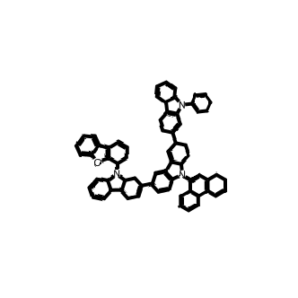 C1=CC2C(N3C4=C(CC(C5=CCC6C7C=CC=CC7N(C7CC=Cc8c7oc7ccccc87)C6C5)C=C4)C4=CC(C5=CC6=C(CC5)C5C=CC=CC5N6C5=CCCC=C5)CCC43)=CC3=C(C=CCC3)C2C=C1